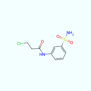 NS(=O)(=O)c1cccc(NC(=O)CCCl)c1